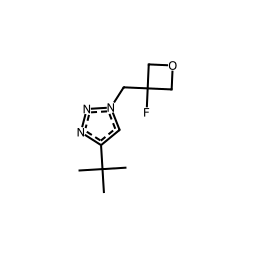 CC(C)(C)c1cn(CC2(F)COC2)nn1